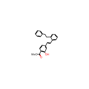 COC(=O)c1ccc(C=Cc2ccccc2CCc2ccccc2)cc1O